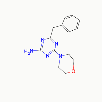 Nc1nc(Cc2ccccc2)nc(N2CCOCC2)n1